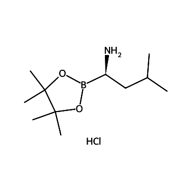 CC(C)C[C@H](N)B1OC(C)(C)C(C)(C)O1.Cl